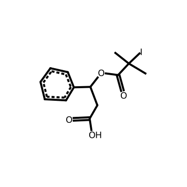 CC(C)(I)C(=O)OC(CC(=O)O)c1ccccc1